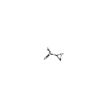 O=[SH](=O)C1CN1